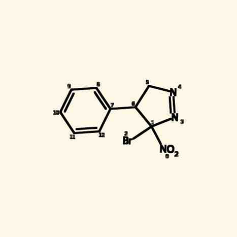 O=[N+]([O-])C1(Br)N=NCC1c1ccccc1